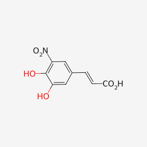 O=C(O)/C=C/c1cc(O)c(O)c([N+](=O)[O-])c1